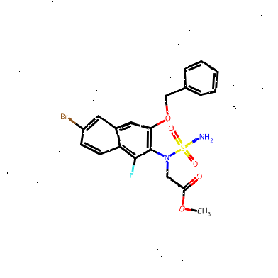 COC(=O)CN(c1c(OCc2ccccc2)cc2cc(Br)ccc2c1F)S(N)(=O)=O